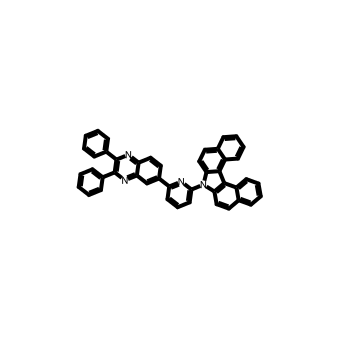 c1ccc(-c2nc3ccc(-c4cccc(-n5c6ccc7ccccc7c6c6c7ccccc7ccc65)n4)cc3nc2-c2ccccc2)cc1